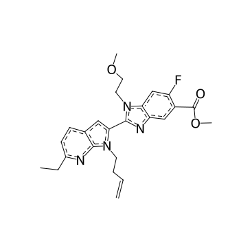 C=CCCn1c(-c2nc3cc(C(=O)OC)c(F)cc3n2CCOC)cc2ccc(CC)nc21